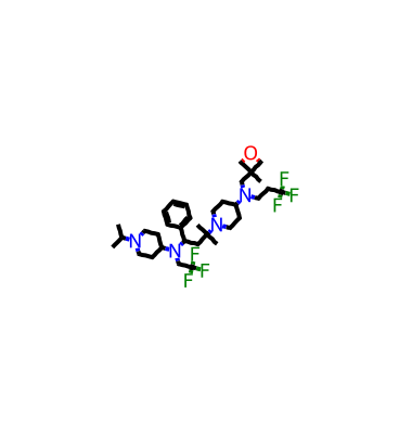 CC(C)N1CCC(N(CC(F)(F)F)C(CC(C)(C)N2CCC(N(CCC(F)(F)F)CC3(C)COC3)CC2)c2ccccc2)CC1